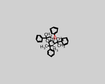 CC(C)([CH2][Zr]([CH2]C(C)(C)c1ccccc1)([CH2]C(C)(C)c1ccccc1)[O]c1ccccc1)c1ccccc1